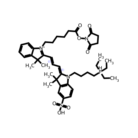 CC[PH](CC)(CC)CCCCN1/C(=C/C=C/C2=[N+](CCCCCC(=O)ON3C(=O)CCC3=O)c3ccccc3C2(C)C)C(C)(C)c2cc(S(=O)(=O)O)ccc21